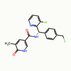 Cc1cc(C(=O)N[C@@H](c2ccc(CF)cc2)c2ncccc2F)c[nH]c1=O